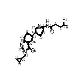 CC(F)CCC(=O)Nc1ccc(-c2ccc3ncn(CC4CC4)c(=O)c3c2)cn1